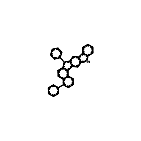 c1ccc(-c2cccc3c2ccc2c3c3cc4[nH]c5ccccc5c4cc3n2-c2ccccc2)cc1